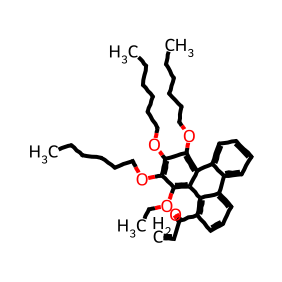 C=CC(=O)c1cccc2c3ccccc3c3c(OCCCCCC)c(OCCCCCC)c(OCCCCCC)c(OCC)c3c12